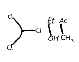 CC(C)=O.CCO.ClC(Cl)Cl